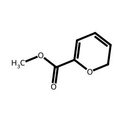 COC(=O)C1=CC=CCO1